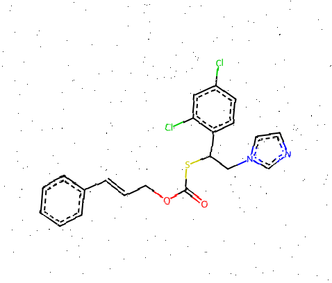 O=C(OCC=Cc1ccccc1)SC(Cn1ccnc1)c1ccc(Cl)cc1Cl